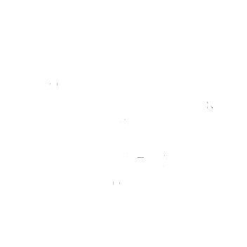 C=C(C#N)C(=O)OCCOC